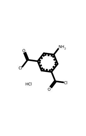 Cl.Nc1cc(C(=O)Cl)cc(C(=O)Cl)c1